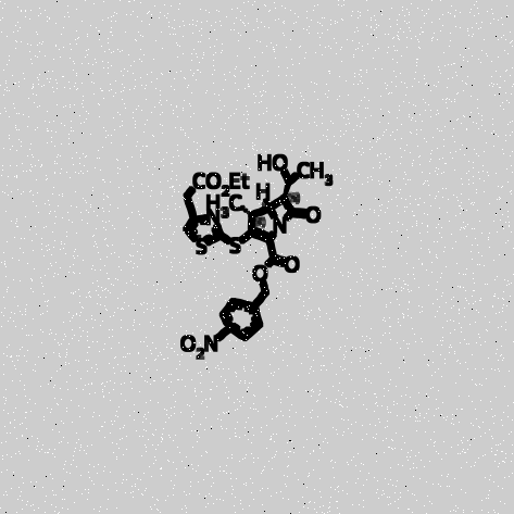 CCOC(=O)Cc1csc(SC2=C(C(=O)OCc3ccc([N+](=O)[O-])cc3)N3C(=O)[C@H](C(C)O)[C@H]3[C@H]2C)n1